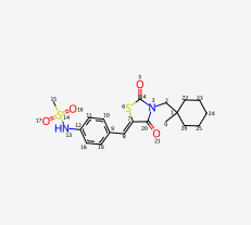 CC1(CN2C(=O)S/C(=C\c3ccc(NS(C)(=O)=O)cc3)C2=O)CCCCC1